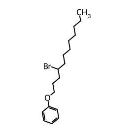 CCCCCCCCC(Br)CCCOc1ccccc1